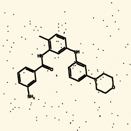 Cc1ccc(Nc2cccc(N3CCOCC3)c2)cc1NC(=O)c1cccc(N)c1